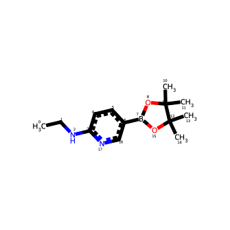 CCNc1ccc(B2OC(C)(C)C(C)(C)O2)cn1